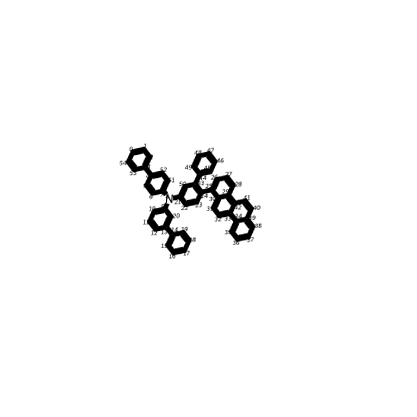 c1ccc(-c2ccc(N(c3cccc(-c4ccccc4)c3)c3ccc(-c4cccc5c4ccc4c6ccccc6ccc54)c(-c4ccccc4)c3)cc2)cc1